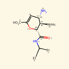 CCC(CC)NC(=O)[C@@H]1OC(C(=O)O)=C[C@H](N)[C@H]1NC(C)=O